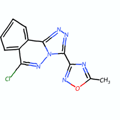 Cc1nc(-c2nnc3c4ccccc4c(Cl)nn23)no1